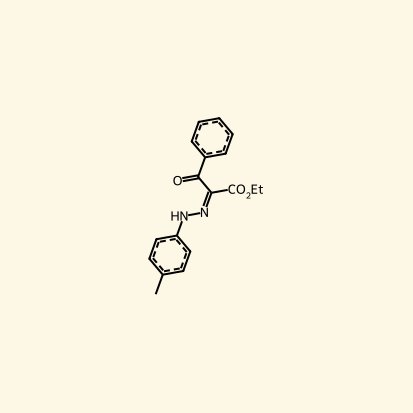 CCOC(=O)C(=NNc1ccc(C)cc1)C(=O)c1ccccc1